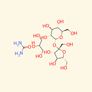 NC(N)=O.OCC(O)CO.OC[C@H]1O[C@@](CO)(O[C@H]2O[C@H](CO)[C@@H](O)[C@H](O)[C@H]2O)[C@@H](O)[C@@H]1O